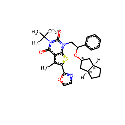 Cc1c(-c2ncco2)sc2c1c(=O)n(C(C)(C)C(=O)O)c(=O)n2CC(O[C@H]1C[C@H]2CCC[C@H]2C1)c1ccccc1